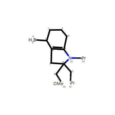 BC1CCCC2=C1CC(COC)(CC(C)C)N2C(C)C